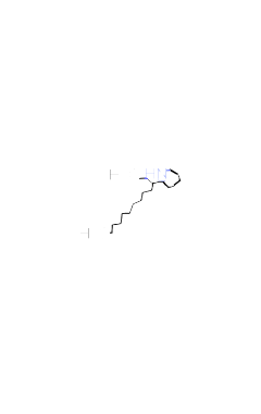 CCCCCCCCCCC(CCC)C1=CC=CC=CN1